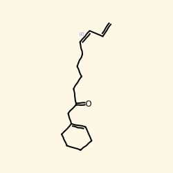 C=C/C=C\CCCCC(=O)CC1=CCCCC1